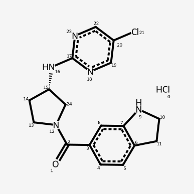 Cl.O=C(c1ccc2c(c1)NCC2)N1CC[C@H](Nc2ncc(Cl)cn2)C1